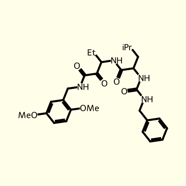 CCC(NC(=O)C(CC(C)C)NC(=O)NCc1ccccc1)C(=O)C(=O)NCc1cc(OC)ccc1OC